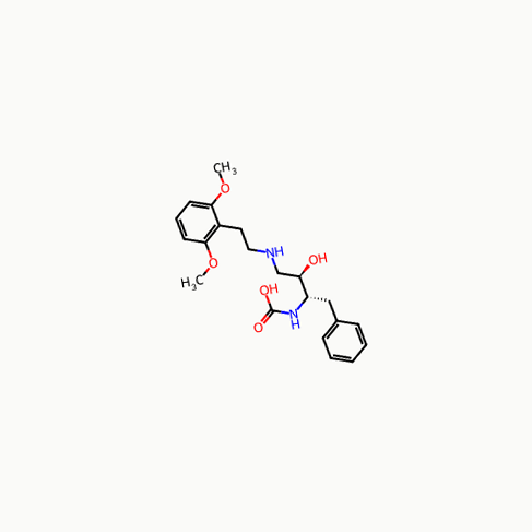 COc1cccc(OC)c1CCNC[C@@H](O)[C@H](Cc1ccccc1)NC(=O)O